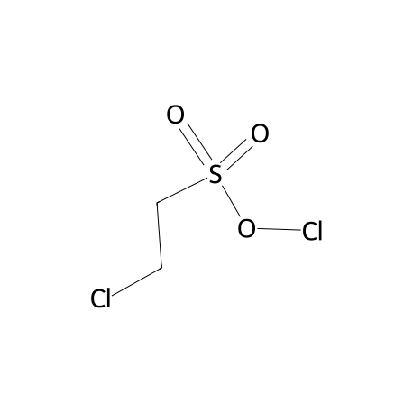 O=S(=O)(CCCl)OCl